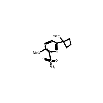 COc1ccc(C2(OC)CCC2)nc1S(N)(=O)=O